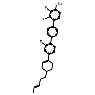 C/C=C/CCC1CC=C(c2ccc(-c3ccc(-c4ccc(CCCC)c(F)c4F)cc3)c(F)c2)CC1